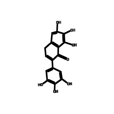 O=C1C(c2cc(O)c(O)c(O)c2)=CCc2cc(O)c(O)c(O)c21